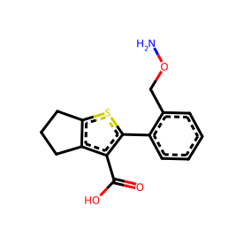 NOCc1ccccc1-c1sc2c(c1C(=O)O)CCC2